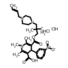 CC=CCN1CCN(CC(C)(C)COC(=O)C2=C(C)N(C)C(C)=C(C(=O)O)C2c2cccc([N+](=O)[O-])c2)CC1.Cl.Cl